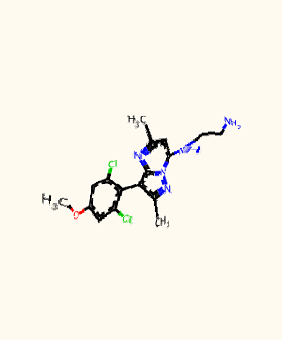 COc1cc(Cl)c(-c2c(C)nn3c(NCCN)cc(C)nc23)c(Cl)c1